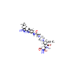 CN(C(=O)C1CN(C2CCN(c3ccc(C(=O)N(C)C4CCC(=O)NC4=O)c(C=O)c3)CC2)C1)c1ccc2cc(-c3n[nH]c4c3CCC(C)(C)C4)[nH]c2c1